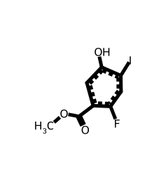 COC(=O)c1cc(O)c(I)cc1F